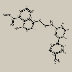 CNC(=O)c1ccnc2c(CCNc3cc(-c4ccc(C)nc4)ncn3)ccc(F)c12